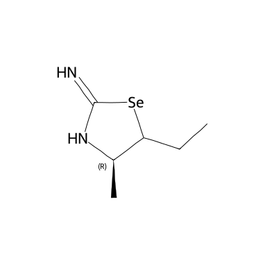 CCC1[Se]C(=N)N[C@@H]1C